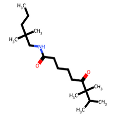 CCCC(C)(C)CNC(=O)CCCCC(=O)C(C)(C)C(C)C